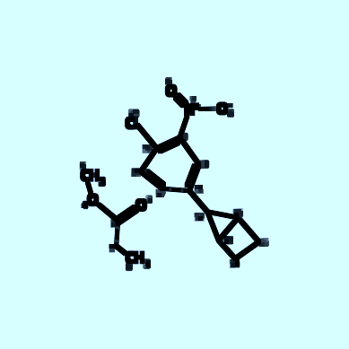 CCC(=O)OC.O=[N+]([O-])c1cc(C2C3CCC32)ccc1Cl